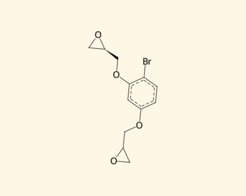 Brc1ccc(OCC2CO2)cc1OC[C@H]1CO1